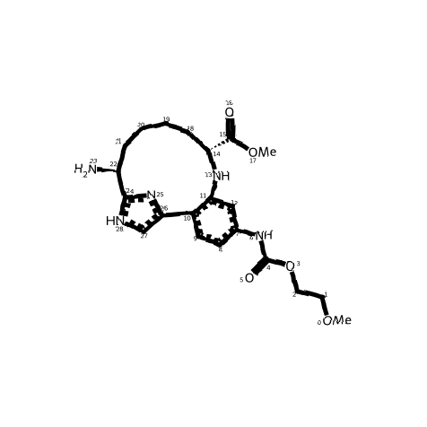 COCCOC(=O)Nc1ccc2c(c1)N[C@@H](C(=O)OC)CCCC[C@H](N)c1nc-2c[nH]1